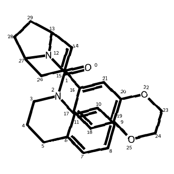 O=C(N1CCCc2ccccc21)N1C2C=C(c3ccc4c(c3)OCCO4)CC1CC2